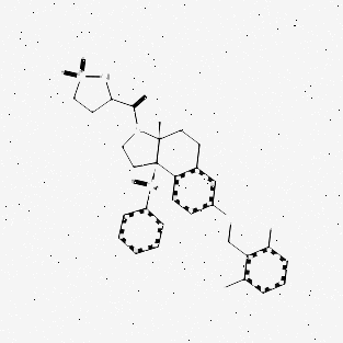 O=C(C1CCS(=O)(=O)N1)N1CC[C@@]2(S(=O)(=O)c3ccccc3)c3ccc(OCc4c(Cl)cccc4Cl)cc3CC[C@@H]12